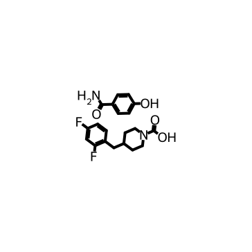 NC(=O)c1ccc(O)cc1.O=C(O)N1CCC(Cc2ccc(F)cc2F)CC1